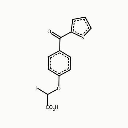 O=C(c1ccc(OC(I)C(=O)O)cc1)c1cccs1